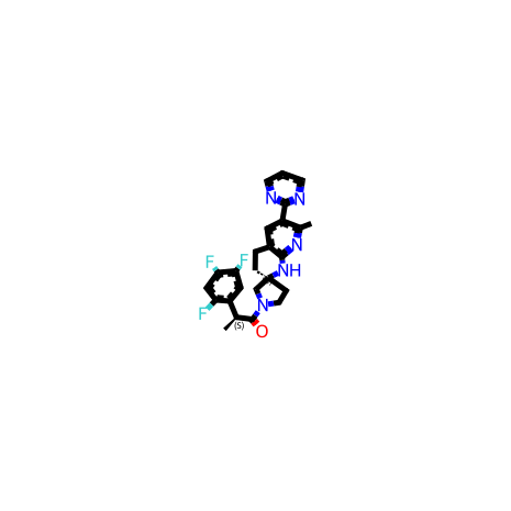 Cc1nc2c(cc1-c1ncccn1)CC[C@@]1(CCN(C(=O)[C@@H](C)c3cc(F)c(F)cc3F)C1)N2